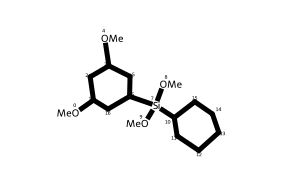 COC1CC(OC)CC([Si](OC)(OC)C2CCCCC2)C1